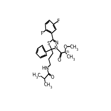 CO[C@@H](C)C(=O)N1N=C(c2cc(F)ccc2F)SC1(CCCNC(=O)C(C)C)c1ccccc1